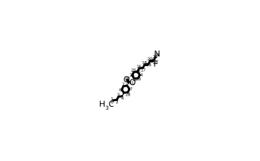 CCCCC[C@H]1CC[C@H](C(=O)OC2CCC(CC/C=C/C=C(F)C#N)CC2)CC1